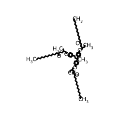 CCCCCCCCCCCCCC(=O)CCC(CC)COc1ccc(CCC(C)(c2ccc(OCC(CC)CCC(=O)CCCCCCCCCCCCC)cc2)c2ccc(OCC(CC)CCC(=O)CCCCCCCCCCCCC)cc2)cc1